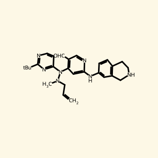 C=CCN(C)N(c1ccnc(C(C)(C)C)n1)c1cc(Nc2ccc3c(c2)CNCC3)ncc1C=O